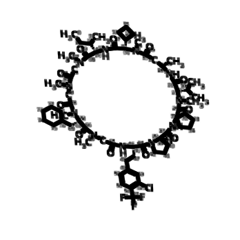 CCC(C)[C@@H]1NC(=O)[C@H](C2CCC2)N(C)C(=O)C[C@@H](C)NC(=O)[C@H](C(C)C)N(C)C(=O)C2(CCCC2)NC(=O)[C@@H]2CCCN2C(=O)[C@H](CCc2ccc(C(F)(F)F)c(Cl)c2)NC(=O)CN(C)C(=O)[C@H](CC2CCCCC2)N(C)C(=O)CN(C)C(=O)CN(C)C1=O